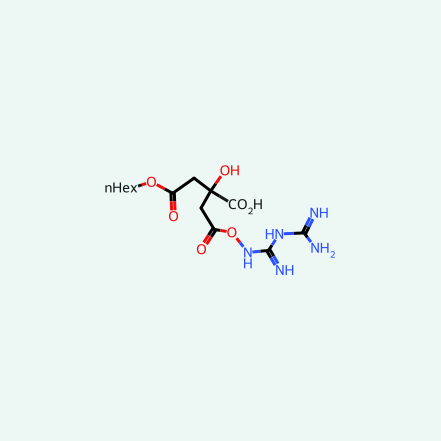 CCCCCCOC(=O)CC(O)(CC(=O)ONC(=N)NC(=N)N)C(=O)O